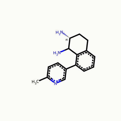 Cc1ccc(-c2cccc3c2C(N)[C@H](N)CC3)cn1